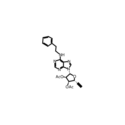 C#C[C@H]1O[C@@H](n2cnc3c(NCCc4ccccc4)ncnc32)[C@H](OC(C)=O)[C@@H]1OC(C)=O